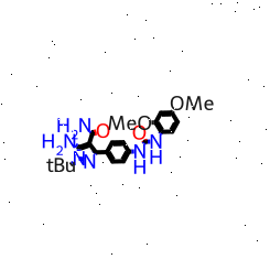 COc1ccc(NC(=O)Nc2ccc(-c3nn(C(C)(C)C)c(N)c3C(N)=O)cc2)c(OC)c1